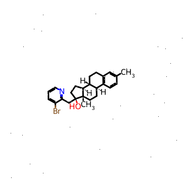 Cc1ccc2c(c1)CC[C@@H]1[C@@H]2CC[C@@]2(C)[C@H]1CC[C@@]2(O)Cc1ncccc1Br